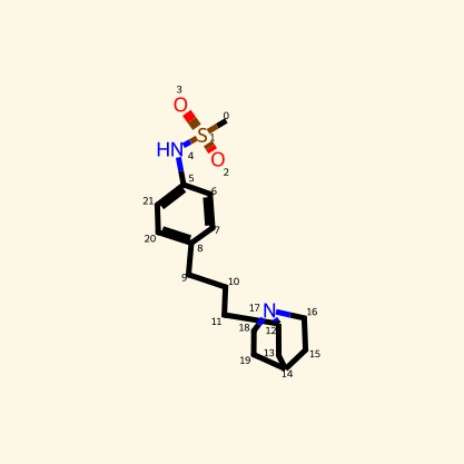 CS(=O)(=O)Nc1ccc(CCCC2CC3CCN2CC3)cc1